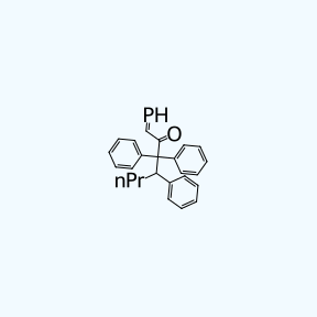 CCCC(c1ccccc1)C(C(=O)C=P)(c1ccccc1)c1ccccc1